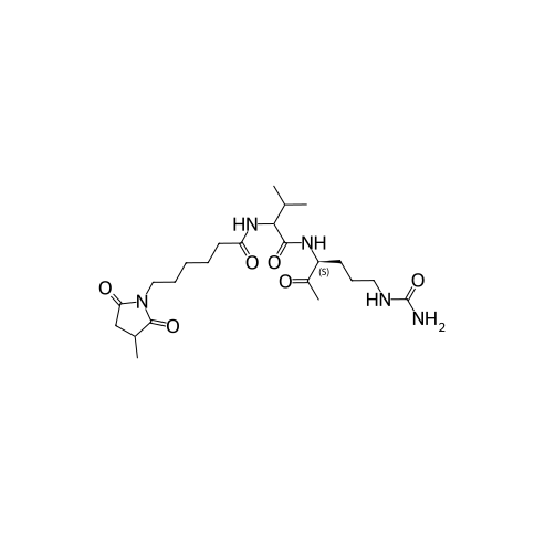 CC(=O)[C@H](CCCNC(N)=O)NC(=O)C(NC(=O)CCCCCN1C(=O)CC(C)C1=O)C(C)C